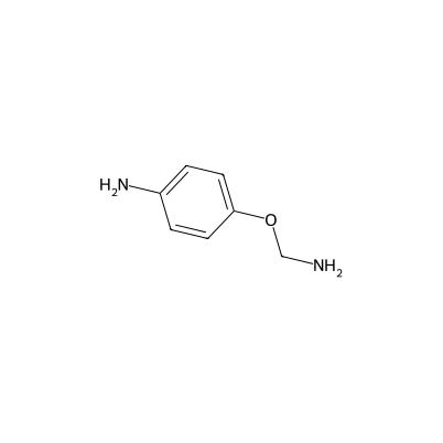 NCOc1ccc(N)cc1